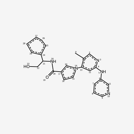 Cc1cnc(Nc2cccnc2)cc1-n1ccc(C(=O)NC(CO)c2ccccc2)c1